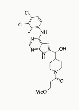 COCCC(=O)N1CCC(C(O)c2cc3c(Nc4ccc(Cl)c(Cl)c4F)ncnc3[nH]2)CC1